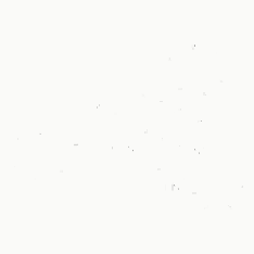 C1=CC2=NC(c3c4[nH]c5cc(-c6ccccc6)ccc5c4cc4c3oc3ccccc34)=CNC2C=C1